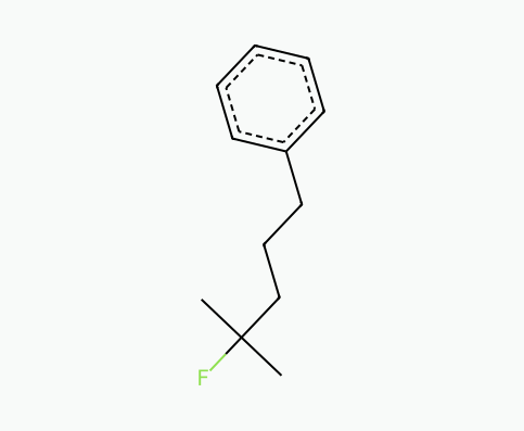 CC(C)(F)CCCc1ccccc1